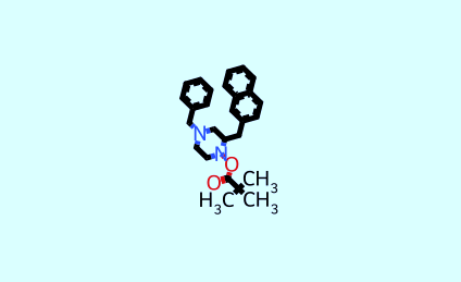 CC(C)(C)C(=O)ON1CCN(Cc2ccccc2)CC1Cc1ccc2ccccc2c1